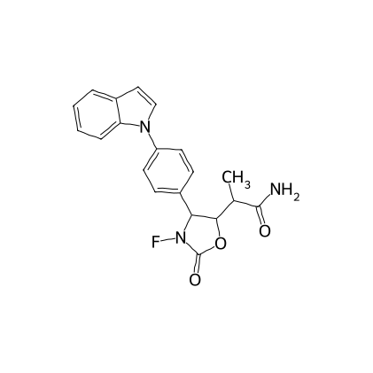 CC(C(N)=O)C1OC(=O)N(F)C1c1ccc(-n2ccc3ccccc32)cc1